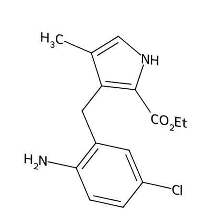 CCOC(=O)c1[nH]cc(C)c1Cc1cc(Cl)ccc1N